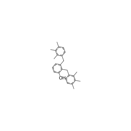 Cc1ccc(Cc2cccc(O)c2Cc2ccc(C)c(C)c2C)c(C)c1C